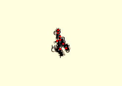 CCc1c(N2CCN(C(=O)OC(C)(C)C)CC2)c(=O)n2nc(-c3ccc4c(c3)COC4)nc2n1CC(=O)Nc1ccc(SC(F)(F)F)cc1Cl